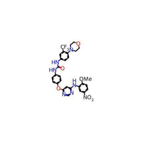 COc1ccc([N+](=O)[O-])cc1Nc1cc(Oc2ccc(NC(=O)Nc3ccc(N4CCOCC4)c(C(F)(F)F)c3)cc2)ncn1